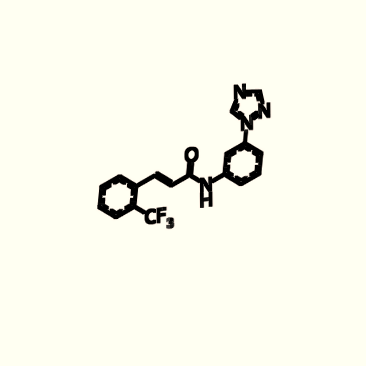 O=C(C=Cc1ccccc1C(F)(F)F)Nc1cccc(-n2cncn2)c1